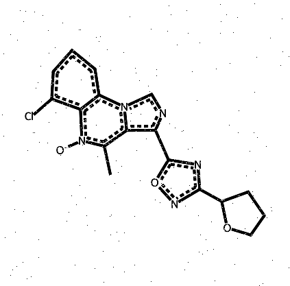 Cc1c2c(-c3nc(C4CCCO4)no3)ncn2c2cccc(Cl)c2[n+]1[O-]